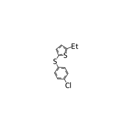 CCc1ccc(Sc2ccc(Cl)cc2)s1